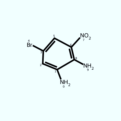 Nc1cc(Br)cc([N+](=O)[O-])c1N